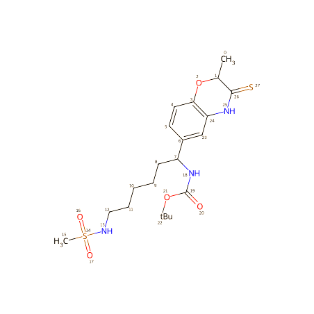 CC1Oc2ccc(C(CCCCCNS(C)(=O)=O)NC(=O)OC(C)(C)C)cc2NC1=S